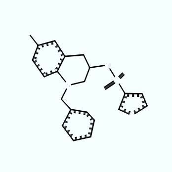 O=S(=O)(NC1Cc2cc(Cl)ccc2N(Cc2ccccc2)C1)c1ccsc1